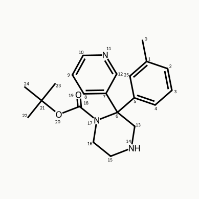 Cc1cccc(C2(c3cccnc3)CNCCN2C(=O)OC(C)(C)C)c1